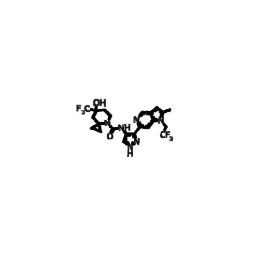 Cc1cc2cnc(-c3n[nH]cc3NC(=O)N3CCC(O)(C(F)(F)F)CC34CC4)cc2n1CC(F)(F)F